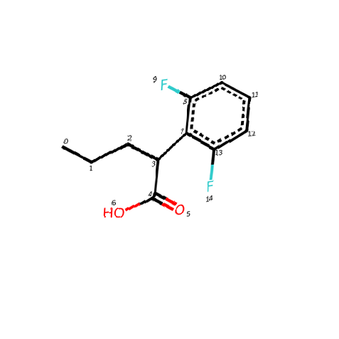 CCCC(C(=O)O)c1c(F)cccc1F